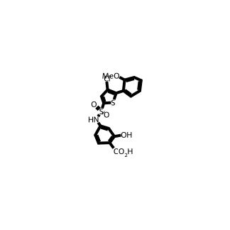 COc1ccccc1-c1sc(S(=O)(=O)Nc2ccc(C(=O)O)c(O)c2)cc1Cl